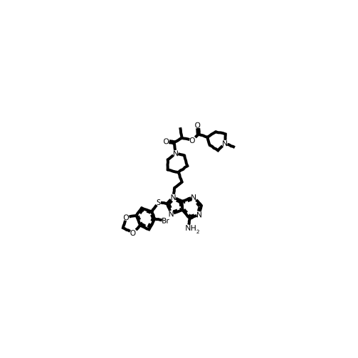 CC(OC(=O)C1CCN(C)CC1)C(=O)N1CCC(CCn2c(Sc3cc4c(cc3Br)OCO4)nc3c(N)ncnc32)CC1